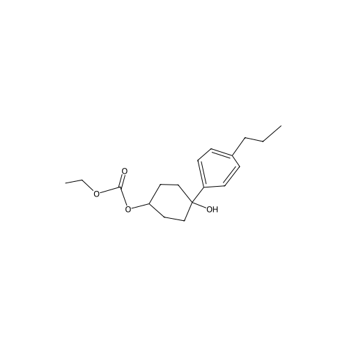 CCCc1ccc(C2(O)CCC(OC(=O)OCC)CC2)cc1